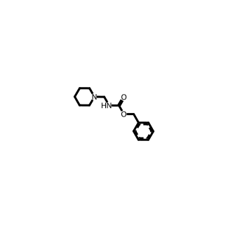 O=C(NCN1CCCCC1)OCc1ccccc1